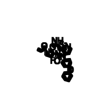 C=CC(=O)N1C[C@H](F)[C@@H](N2C(=O)N(c3ccc(Oc4ccccc4)cc3)c3ccnc4sc(C(N)=O)c2c34)C1